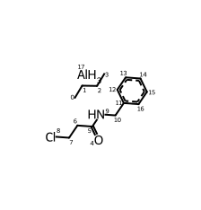 CCCC.O=C(CCCl)NCc1ccccc1.[AlH3]